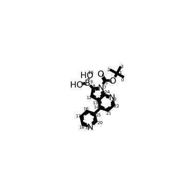 CC(C)(C)OC(=O)n1c(B(O)O)cc2c(-c3cccnc3)ccnc21